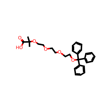 CC(C)(OCCOCCOCCOC(c1ccccc1)(c1ccccc1)c1ccccc1)C(=O)O